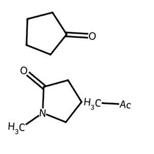 CC(C)=O.CN1CCCC1=O.O=C1CCCC1